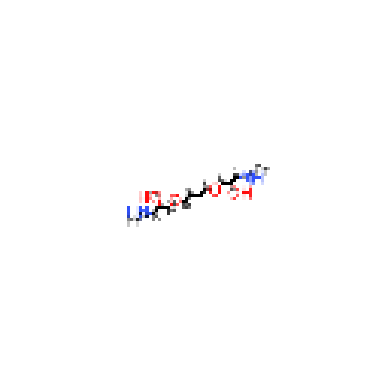 CC(C)NCC(O)COCCCCOCC(O)CNC(C)C